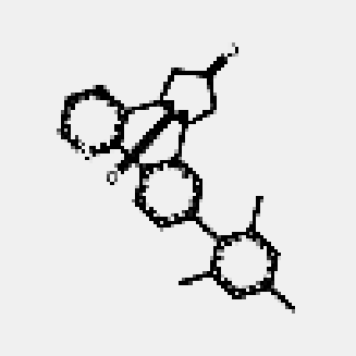 Cc1cc(C)c(-c2ccc3c(c2)C24CC(=O)CC2(CC(=O)C4)c2cccnc2-3)c(C)c1